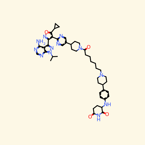 CC(C)n1nc(-c2noc(C3CC3)c2-c2ncc(C3CCN(C(=O)CCCCCCN4CCC(c5ccc(NC6CCC(=O)NC6=O)cc5)CC4)CC3)cn2)c2c(N)ncnc21